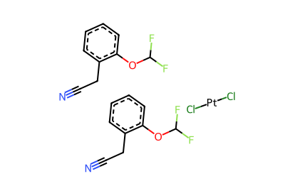 N#CCc1ccccc1OC(F)F.N#CCc1ccccc1OC(F)F.[Cl][Pt][Cl]